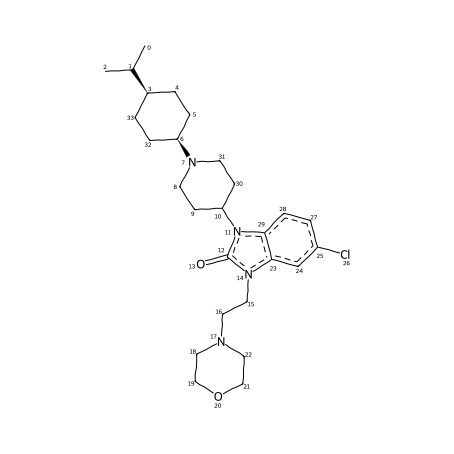 CC(C)[C@H]1CC[C@@H](N2CCC(n3c(=O)n(CCN4CCOCC4)c4cc(Cl)ccc43)CC2)CC1